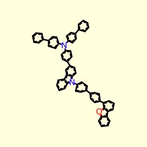 c1ccc(-c2ccc(N(c3ccc(-c4ccccc4)cc3)c3ccc(-c4ccc5c(c4)c4ccccc4n5-c4ccc(-c5ccc(-c6cccc7c6oc6ccccc67)cc5)cc4)cc3)cc2)cc1